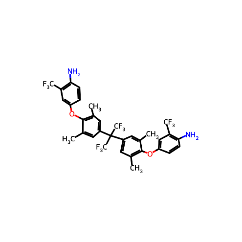 Cc1cc(C(c2cc(C)c(Oc3ccc(N)c(C(F)(F)F)c3)c(C)c2)(C(F)(F)F)C(F)(F)F)cc(C)c1Oc1ccc(N)c(C(F)(F)F)c1